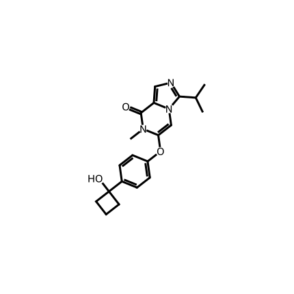 CC(C)c1ncc2c(=O)n(C)c(Oc3ccc(C4(O)CCC4)cc3)cn12